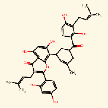 CC(C)=CCc1c(O)ccc(C(=O)C2CC(C)=CC(c3c(O)cc(O)c4c(=O)c(CC=C(C)C)c(-c5ccc(O)cc5O)oc34)C2)c1O